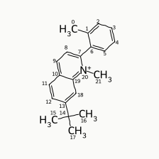 Cc1ccccc1-c1ccc2ccc(C(C)(C)C)cc2[n+]1C